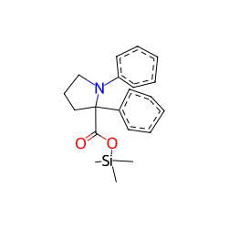 C[Si](C)(C)OC(=O)C1(c2ccccc2)CCCN1c1ccccc1